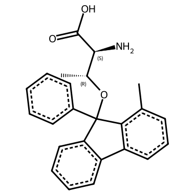 Cc1cccc2c1C(O[C@H](C)[C@H](N)C(=O)O)(c1ccccc1)c1ccccc1-2